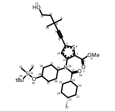 COC(=O)c1sc(C#CC(C)(C)CCO)cc1N(C(=O)[C@H]1CC[C@H](C)CC1)C1CCC(O[Si](C)(C)C(C)(C)C)CC1